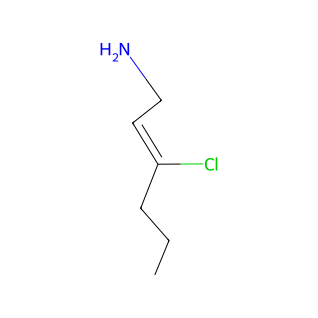 CCC/C(Cl)=C/CN